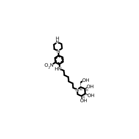 O=[N+]([O-])c1cc(N2CCNCC2)ccc1NCCCCCCN1C[C@H](O)[C@@H](O)[C@H](O)[C@H]1CO